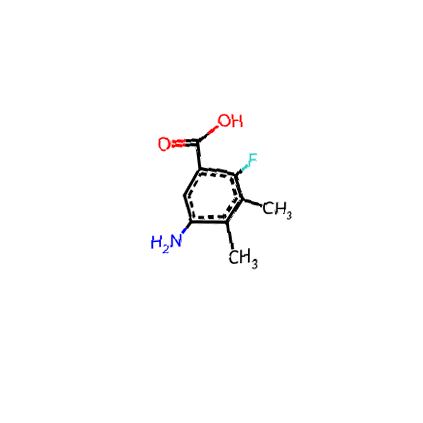 Cc1c(N)cc(C(=O)O)c(F)c1C